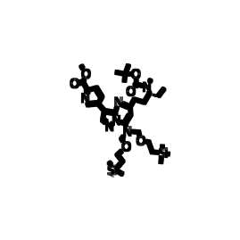 CC[C@H](CCc1cc(N(COCC[Si](C)(C)C)COCC[Si](C)(C)C)n2ncc(-c3ccc(C(=O)OC)nc3)c2n1)N(C)C(=O)OC(C)(C)C